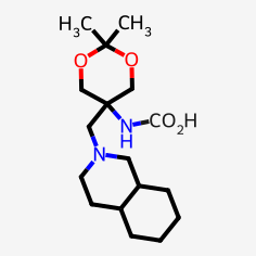 CC1(C)OCC(CN2CCC3CCCCC3C2)(NC(=O)O)CO1